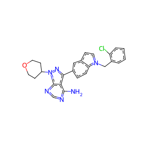 Nc1ncnc2c1c(-c1ccc3c(ccn3Cc3ccccc3Cl)c1)nn2C1CCOCC1